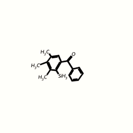 Cc1cc(C(=O)c2ccccc2)c([SiH3])c(C)c1C